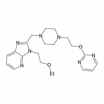 CCOCCn1c(CN2CCN(CCOc3ncccn3)CC2)nc2cccnc21